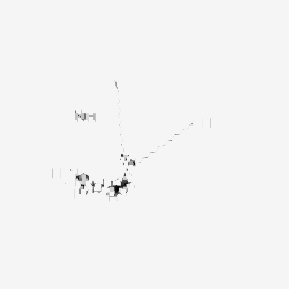 CCCCCCCCCCCCCCCC(=O)OC[C@H](COP(=O)(O)OP(=O)(O)OC[C@H]1O[C@@H](n2ccc(N)nc2=O)C(O)[C@H]1O)OC(=O)CCCCCCCCCCCCCCC.N.N